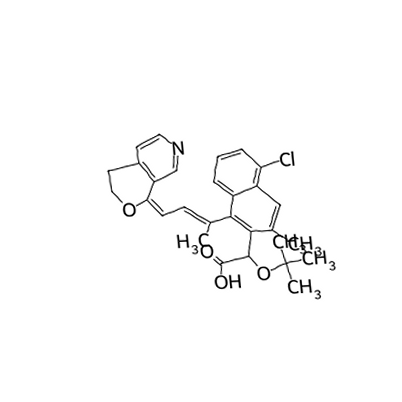 C/C(=C\C=C1\OCCc2ccncc21)c1c(C(OC(C)(C)C)C(=O)O)c(C)cc2c(Cl)cccc12